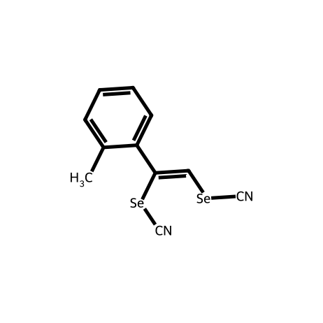 Cc1ccccc1C(=C[Se]C#N)[Se]C#N